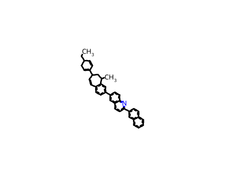 CCC1C=CC(C2C=Cc3ccc(-c4ccc5nc(-c6ccc7ccccc7c6)ccc5c4)cc3C(C)C2)=CC1